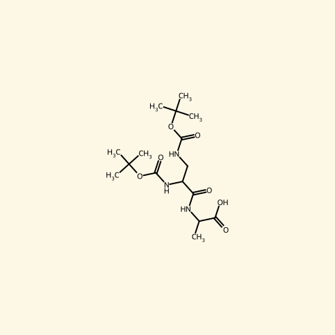 CC(NC(=O)C(CNC(=O)OC(C)(C)C)NC(=O)OC(C)(C)C)C(=O)O